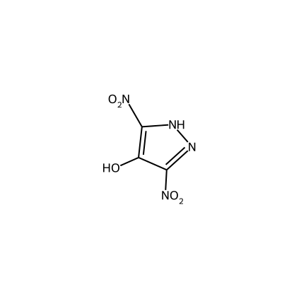 O=[N+]([O-])c1n[nH]c([N+](=O)[O-])c1O